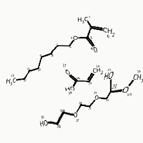 C=C(C)C(=O)OCCCCCCCC.C=CC(=O)O.COC(O)COCCOCCO